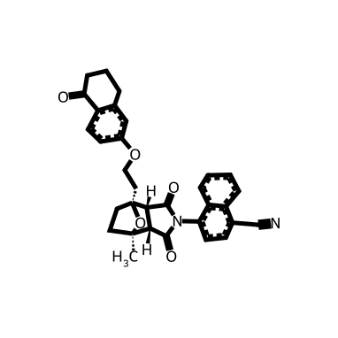 C[C@]12CC[C@](CCOc3ccc4c(c3)CCCC4=O)(O1)[C@@H]1C(=O)N(c3ccc(C#N)c4ccccc34)C(=O)[C@@H]12